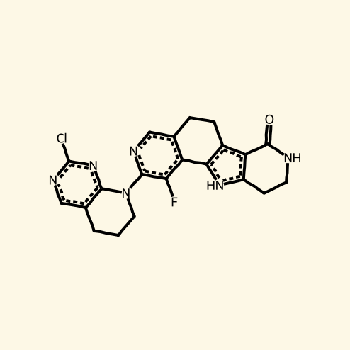 O=C1NCCc2[nH]c3c(c21)CCc1cnc(N2CCCc4cnc(Cl)nc42)c(F)c1-3